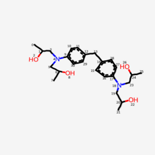 CC(O)CN(CC(C)O)c1ccc(Cc2ccc(N(CC(C)O)CC(C)O)cc2)cc1